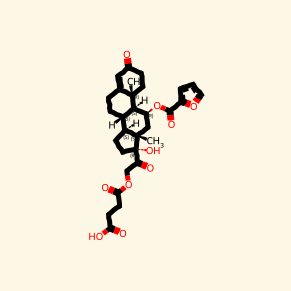 C[C@]12CCC(=O)C=C1CC[C@@H]1[C@@H]2[C@H](OC(=O)c2ccco2)C[C@@]2(C)[C@H]1CC[C@]2(O)C(=O)COC(=O)CCC(=O)O